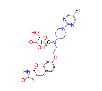 CCc1cnc(N2CCC(N(C)CCOc3ccc(CC4SC(=O)NC4=O)cc3)CC2)nc1.O=C(O)C(=O)O